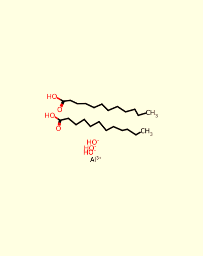 CCCCCCCCCCCC(=O)O.CCCCCCCCCCCC(=O)O.[Al+3].[OH-].[OH-].[OH-]